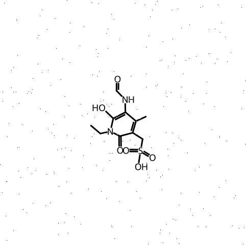 CCn1c(O)c(NC=O)c(C)c(CS(=O)(=O)O)c1=O